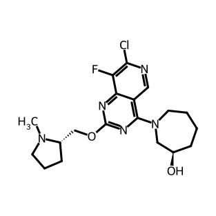 CN1CCC[C@H]1COc1nc(N2CCCC[C@@H](O)C2)c2cnc(Cl)c(F)c2n1